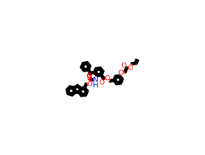 C=CCOC(=O)COc1cccc(COC(=O)c2cccc(C(=O)c3ccccc3)c2NC(=O)OCc2cccc3c2Cc2ccccc2-3)c1